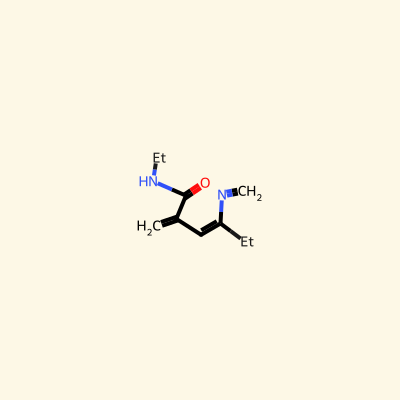 C=N/C(=C\C(=C)C(=O)NCC)CC